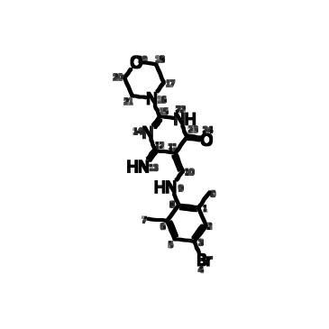 Cc1cc(Br)cc(C)c1N/C=C1\C(=N)N=C(N2CCOCC2)NC1=O